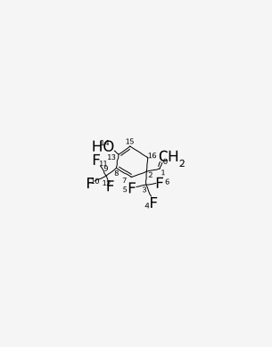 C=CC1(C(F)(F)F)C=C(C(F)(F)F)C(O)=CC1